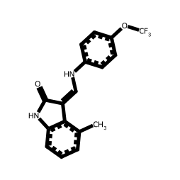 Cc1cccc2c1/C(=C/Nc1ccc(OC(F)(F)F)cc1)C(=O)N2